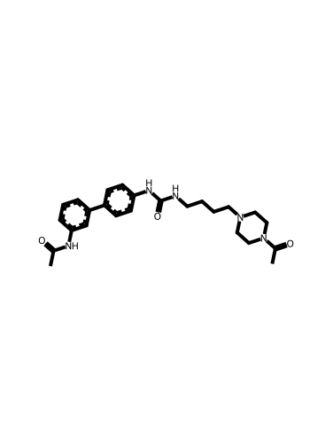 CC(=O)Nc1cccc(-c2ccc(NC(=O)NCCCCN3CCN(C(C)=O)CC3)cc2)c1